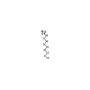 CCCCCCCC[CH2][Ti]